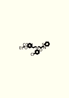 CCC(Oc1cccc(CCNCC(Oc2ccc(Cl)cc2)c2nc3ccccc3s2)c1)C(=O)O